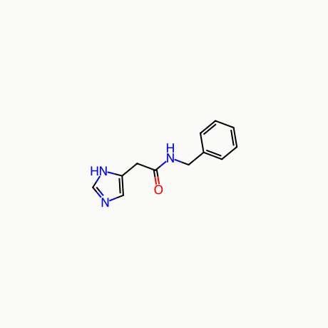 O=C(Cc1cnc[nH]1)NCc1ccccc1